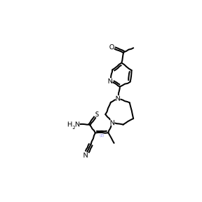 CC(=O)c1ccc(N2CCCN(/C(C)=C(/C#N)C(N)=S)CC2)nc1